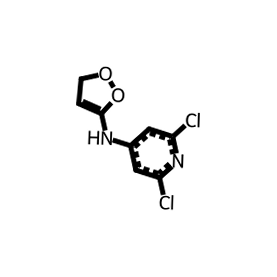 Clc1cc(NC2=CCOO2)cc(Cl)n1